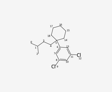 CC(C)CCC1(c2cc(Cl)cc(Cl)c2)CCCCC1